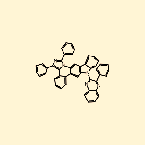 c1ccc(-c2nc3ccccc3nc2-n2c3ccccc3c3cc4c(cc32)c2ccccc2c2c(-c3ccccc3)nc(-c3ccccc3)n42)cc1